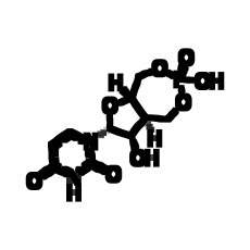 O=c1ccn([C@@H]2O[C@@H]3COP(=O)(O)OC[C@H]3[C@H]2O)c(=O)[nH]1